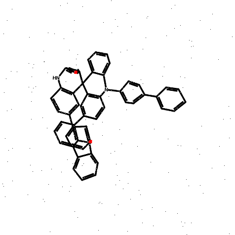 c1ccc(-c2ccc(N3c4ccccc4C4(c5ccccc5Nc5ccc(-c6ccccc6)cc54)c4cc(-c5cccc6c5oc5ccccc56)ccc43)cc2)cc1